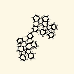 c1ccc(N(c2ccc(-c3ccc(N(c4ccccc4)c4cc5c(c6ccccc46)-c4ccccc4C54c5ccccc5-c5ccccc54)cc3)cc2)c2cc3c(c4ccccc24)-c2ccccc2C32c3ccccc3-c3ccccc32)cc1